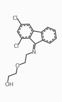 OCCOCCN=C1c2ccccc2-c2cc(Cl)cc(Cl)c21